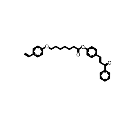 C=Cc1ccc(OCCCCCCC(=O)Oc2ccc(C=CC(=O)c3ccccc3)cc2)cc1